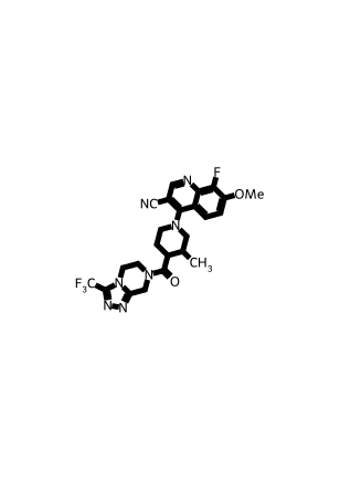 COc1ccc2c(N3CCC(C(=O)N4CCn5c(nnc5C(F)(F)F)C4)C(C)C3)c(C#N)cnc2c1F